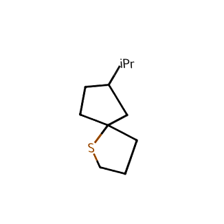 CC(C)C1CCC2(CCCS2)C1